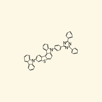 c1ccc(-c2nc(-c3ccccc3)nc(-c3ccc(-n4c5ccccc5c5c6c(ccc54)sc4cc(-n5c7ccccc7c7ccccc75)ccc46)cc3)n2)cc1